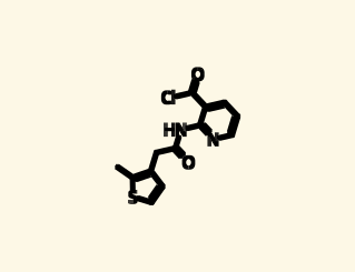 Cc1sccc1CC(=O)Nc1ncccc1C(=O)Cl